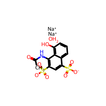 CC(=O)Nc1c(S(=O)(=O)[O-])cc(S(=O)(=O)[O-])c2cccc(O)c12.O.[Na+].[Na+]